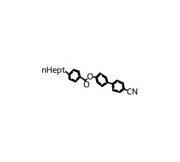 CCCCCCCc1ccc(C(=O)Oc2ccc(-c3ccc(C#N)cc3)cc2)cc1